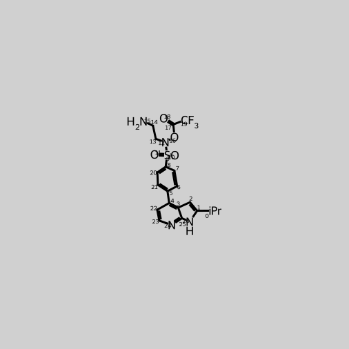 CC(C)c1cc2c(-c3ccc(S(=O)(=O)N(CCN)OC(=O)C(F)(F)F)cc3)ccnc2[nH]1